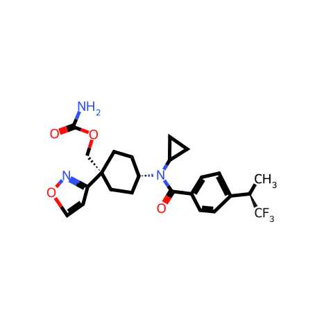 C[C@H](c1ccc(C(=O)N(C2CC2)[C@H]2CC[C@](COC(N)=O)(c3ccon3)CC2)cc1)C(F)(F)F